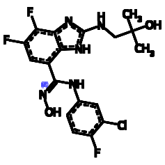 CC(C)(O)CNc1nc2c(F)c(F)cc(/C(=N/O)Nc3ccc(F)c(Cl)c3)c2[nH]1